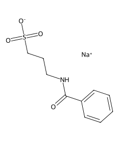 O=C(NCCCS(=O)(=O)[O-])c1ccccc1.[Na+]